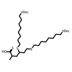 CCCCCCCCCCCCCCCCCCSCCC(CC(C)C(O)=S)SCCCCCCCCCCCCCCCCCC